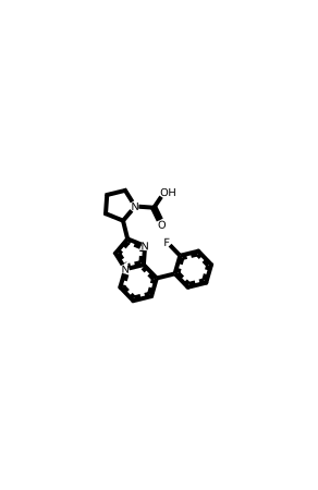 O=C(O)N1CCCC1c1cn2cccc(-c3ccccc3F)c2n1